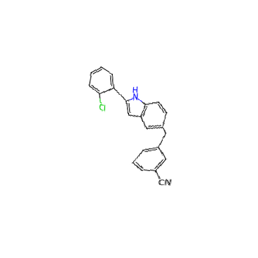 N#Cc1cccc(Cc2ccc3[nH]c(-c4ccccc4Cl)cc3c2)c1